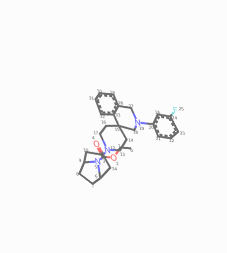 CCOC(=O)N1C2CCC1CC(N1CCC3(CC1)CN(c1cccc(F)c1)Cc1ccccc13)C2